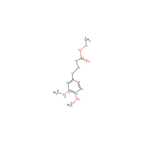 CCOC(=O)CCCc1ccc(OC)c(OC)c1